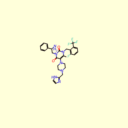 Cc1c(N2CCN(Cc3ncc[nH]3)CC2)c(=O)n(CC(N)c2ccccc2)c(=O)n1Cc1c(F)cccc1C(F)(F)F